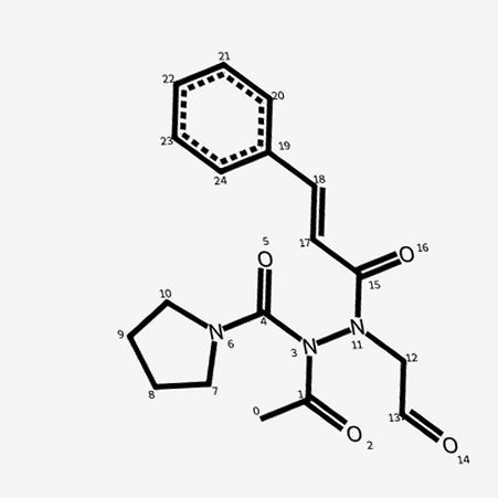 CC(=O)N(C(=O)N1CCCC1)N(C[C]=O)C(=O)C=Cc1ccccc1